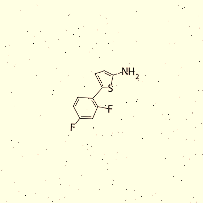 Nc1ccc(-c2ccc(F)cc2F)s1